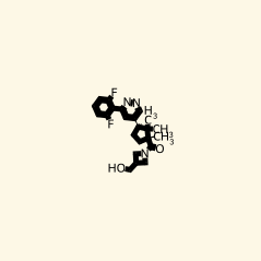 CC1(C)[C@@H](c2cnnc(-c3c(F)cccc3F)c2)CC[C@]1(C)C(=O)N1CC(CO)C1